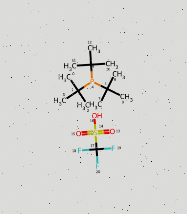 CC(C)(C)P(C(C)(C)C)C(C)(C)C.O=S(=O)(O)C(F)(F)F